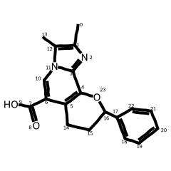 Cc1nc2c3c(c(C(=O)O)cn2c1C)CCC(c1ccccc1)O3